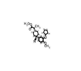 COC(=O)[C@H](C)N1CCC(C#N)(c2ccc(OC)c(OC3CCCC3)c2)CC1